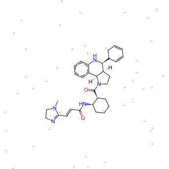 CN1CCN=C1/C=C/C(=O)N[C@@H]1CCCC[C@@H]1C(=O)N1CC[C@@H]2[C@H](C3C=CC=CC3)Nc3ccccc3[C@@H]21